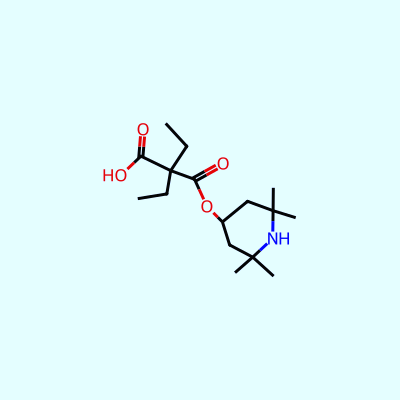 CCC(CC)(C(=O)O)C(=O)OC1CC(C)(C)NC(C)(C)C1